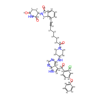 O=C1CCC(N2Cc3c(C#CCCCCCC(=O)N4CCC(Nc5ncnc6[nH]cc(C(=O)c7ccc(Oc8ccccc8)cc7Cl)c56)CC4)cccc3C2=O)C(=O)N1